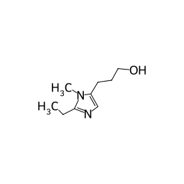 CCc1ncc(CCCO)n1C